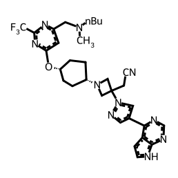 CCCCN(C)Cc1cc(O[C@H]2CC[C@@H](N3CC(CC#N)(n4cc(-c5ncnc6[nH]ccc56)cn4)C3)CC2)nc(C(F)(F)F)n1